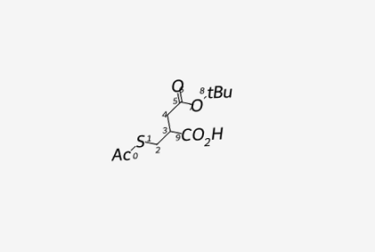 CC(=O)SCC(CC(=O)OC(C)(C)C)C(=O)O